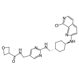 O=C(NCc1cnc(NC[C@H]2CC[C@H](Nc3ccc4ccnc(Cl)c4n3)CC2)nc1)C1COC1